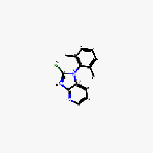 Cc1cccc(C)c1-n1c(Br)nc2ncccc21